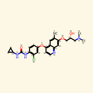 [C-]#[N+]c1cc2c(Oc3ccc(NC(=O)NC4CC4)c(Cl)c3)ccnc2cc1OC[C@H](O)CN(CC)CC